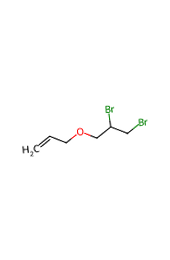 C=CCOCC(Br)CBr